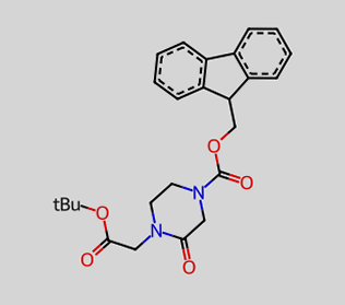 CC(C)(C)OC(=O)CN1CCN(C(=O)OCC2c3ccccc3-c3ccccc32)CC1=O